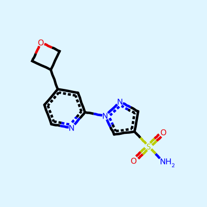 NS(=O)(=O)c1cnn(-c2cc(C3COC3)ccn2)c1